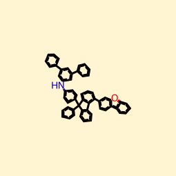 c1ccc(-c2cc(Nc3ccc(C4(c5ccccc5)c5ccccc5-c5c(-c6ccc7c(c6)oc6ccccc67)cccc54)cc3)cc(-c3ccccc3)c2)cc1